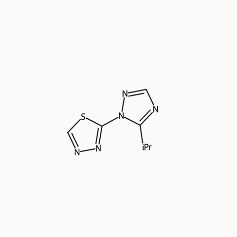 CC(C)c1ncnn1-c1nncs1